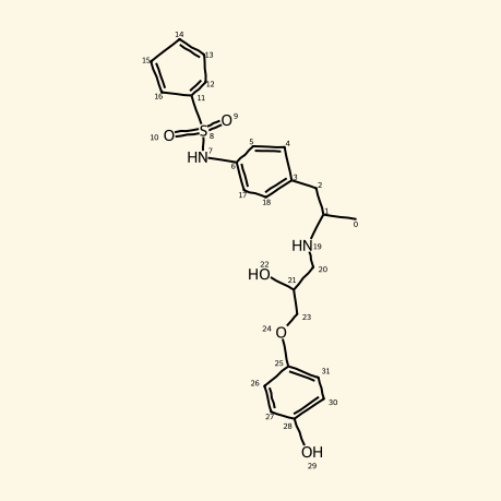 CC(Cc1ccc(NS(=O)(=O)c2ccccc2)cc1)NCC(O)COc1ccc(O)cc1